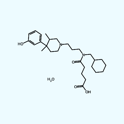 CC1CN(CCCN(CC2CCCCC2)C(=O)CCCC(=O)O)CCC1(C)c1cccc(O)c1.O